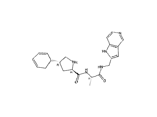 C[C@H](NC(=O)[C@H]1C[C@H](C2C=CC=CC2)CN1)C(=O)NCc1cc2cnccc2[nH]1